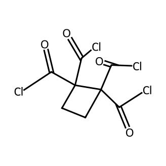 O=C(Cl)C1(C(=O)Cl)CCC1(C(=O)Cl)C(=O)Cl